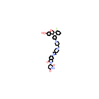 O=C1CC[C@H](N2Cc3cc(N4CC5(CCN(CC6CCN(c7ccc([C@@H]8c9ccc(O)cc9OC[C@@H]8c8ccccc8F)cc7)CC6)CC5)C4)ccc3C2=O)C(=O)N1